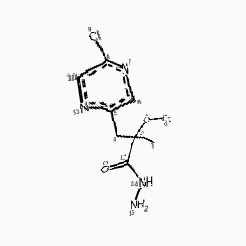 CCOC(C)(Cc1cnc(Cl)cn1)C(=O)NN